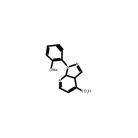 CCOC(=O)C1=CC=NC2C1C=NN2c1c#cccc1OC